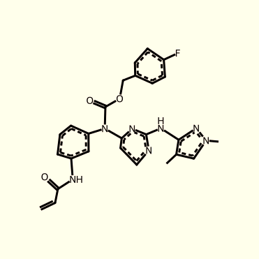 C=CC(=O)Nc1cccc(N(C(=O)OCc2ccc(F)cc2)c2ccnc(Nc3nn(C)cc3C)n2)c1